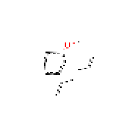 C=CCCC=C.COc1ccccc1